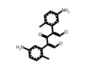 Cc1ccc(N)cc1C(=CCl)C(=O)C(=CCl)c1cc(N)ccc1C